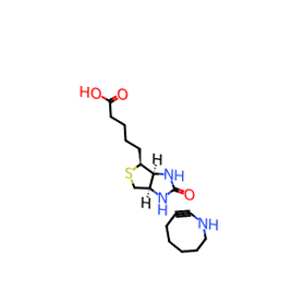 C1#CNCCCCC1.O=C(O)CCCC[C@@H]1SC[C@@H]2NC(=O)N[C@@H]21